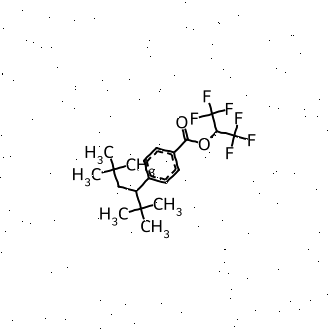 CC(C)(C)CC(c1ccc(C(=O)OC(C(F)(F)F)C(F)(F)F)cc1)C(C)(C)C